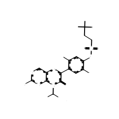 CC(C)n1c(=O)c(-c2cc(F)c(NS(=O)(=O)CCC(F)(F)F)cc2F)nc2cnc(N)nc21